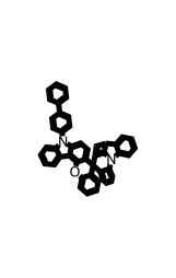 c1ccc(-c2ccc(-n3c4ccccc4c4c5c(ccc43)C3(c4ccccc4O5)c4ccccc4-n4c5ccccc5c5cccc3c54)cc2)cc1